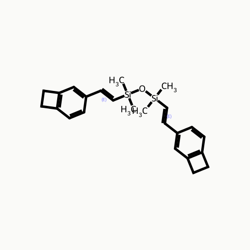 C[Si](C)(/C=C/c1ccc2c(c1)CC2)O[Si](C)(C)/C=C/c1ccc2c(c1)CC2